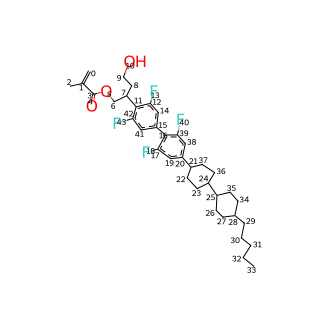 C=C(C)C(=O)OCC(CCO)c1c(F)cc(-c2c(F)cc(C3CCC(C4CCC(CCCCC)CC4)CC3)cc2F)cc1F